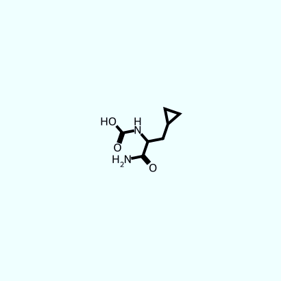 NC(=O)C(CC1CC1)NC(=O)O